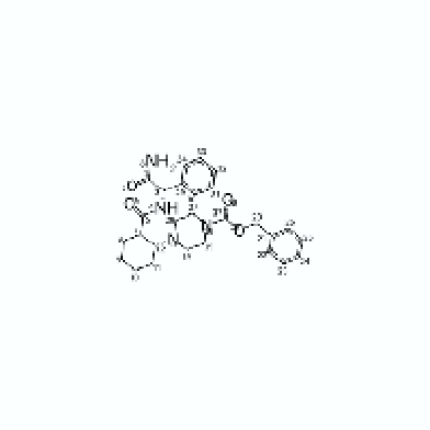 NC(=O)[C@@H](NC(=O)[C@@H]1CCCC[C@H]1N1CCN(C(=O)OCc2ccccc2)CC1)c1ccccc1